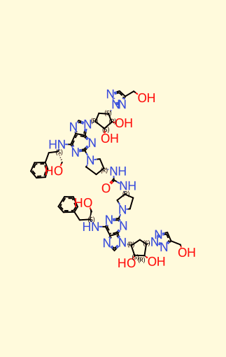 O=C(N[C@@H]1CCN(c2nc(N[C@H](CO)Cc3ccccc3)c3ncn([C@@H]4C[C@H](n5ncc(CO)n5)[C@@H](O)[C@H]4O)c3n2)C1)N[C@@H]1CCN(c2nc(N[C@H](CO)Cc3ccccc3)c3ncn([C@@H]4C[C@H](n5ncc(CO)n5)[C@@H](O)[C@H]4O)c3n2)C1